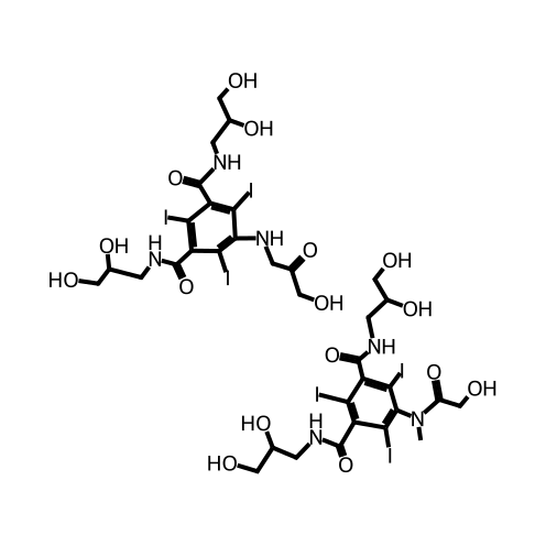 CN(C(=O)CO)c1c(I)c(C(=O)NCC(O)CO)c(I)c(C(=O)NCC(O)CO)c1I.O=C(CO)CNc1c(I)c(C(=O)NCC(O)CO)c(I)c(C(=O)NCC(O)CO)c1I